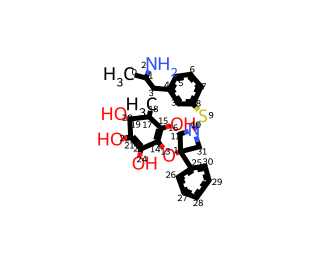 CC(N)Cc1cccc(SN2CC(OC3=C(O)C(C)C(O)C(O)=C3O)(c3ccccc3)C2)c1